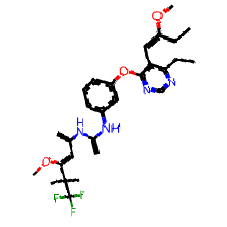 C=C(/C=C(\OC)C(C)(C)C(F)(F)F)NC(=C)Nc1cccc(Oc2ncnc(CC)c2/C=C(\CC)OC)c1